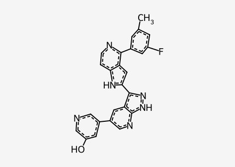 Cc1cc(F)cc(-c2nccc3[nH]c(-c4n[nH]c5ncc(-c6cncc(O)c6)cc45)cc23)c1